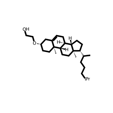 CC(C)CCCC(C)[C@H]1CC[C@H]2[C@@H]3CC=C4C[C@@H](OCCO)CC[C@]4(C)[C@H]3CC[C@]12C